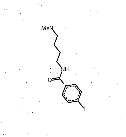 CNCCCCNC(=O)c1ccc(I)cc1